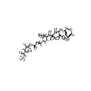 CC(C)(C)OC(=O)NCC(C)(C)OC(=O)/N=C/c1ccc(NC(=O)NC(Cc2ccccc2)C(=O)O)cc1.[NaH]